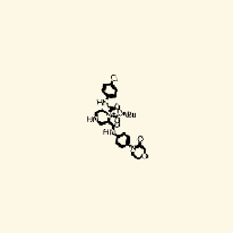 CC(C)(C)OC(=O)[N+]1(C(=O)Nc2ccc(Cl)cc2)CCNCC1C(=O)Nc1ccc(N2CCOCC2=O)cc1